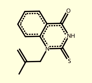 C=C(C)Cn1c(=S)[nH]c(=O)c2ccccc21